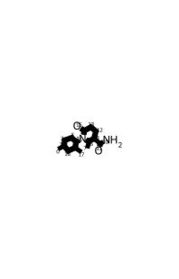 Cc1ccc(-n2c(C)c(C(N)=O)ccc2=O)c(C)c1